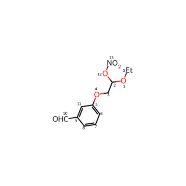 CCOC(COc1cccc(C=O)c1)O[N+](=O)[O-]